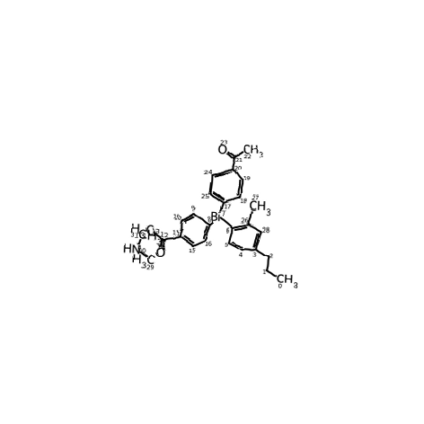 CCCc1cc[c]([Bi]([c]2ccc(C(C)=O)cc2)[c]2ccc(C(C)=O)cc2)c(C)c1.CNC